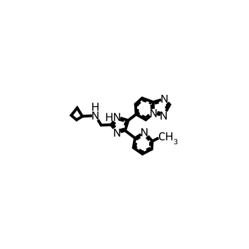 Cc1cccc(-c2nc(CNC3CCC3)[nH]c2-c2ccc3ncnn3c2)n1